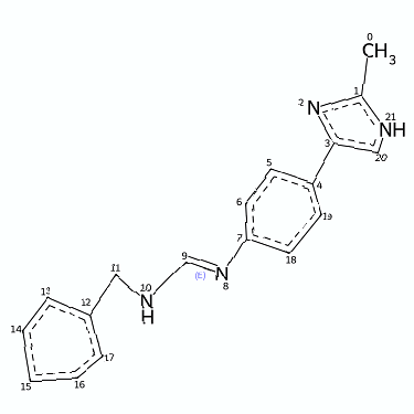 Cc1nc(-c2ccc(/N=C/NCc3ccccc3)cc2)c[nH]1